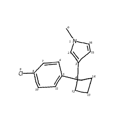 Cn1[c]c(C2(c3ccc(Cl)cc3)CCC2)cc1